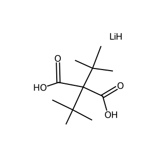 CC(C)(C)C(C(=O)O)(C(=O)O)C(C)(C)C.[LiH]